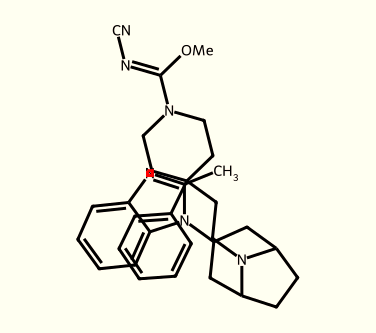 COC(=NC#N)N1CCC(CCN2C3CCC2CC(n2c(C)nc4ccccc42)C3)(c2ccccc2)CC1